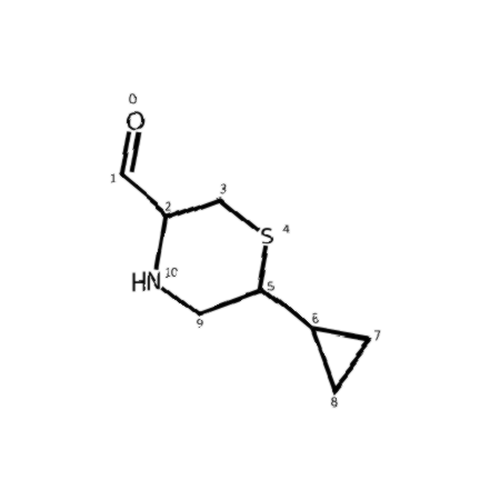 O=CC1CSC(C2CC2)CN1